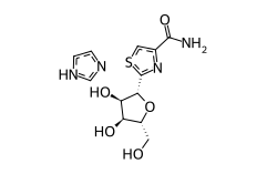 NC(=O)c1csc([C@@H]2O[C@H](CO)[C@@H](O)[C@H]2O)n1.c1c[nH]cn1